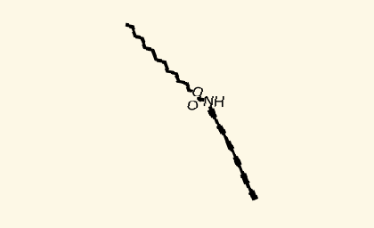 C#CC#CC#CC#CC#CC#CNC(=O)OCCCCCCCCCCCCC